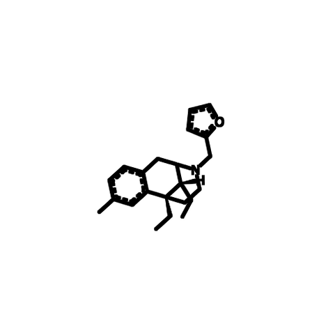 CC[C@H]1C2Cc3ccc(C)cc3[C@@]1(CC)CCN2Cc1ccco1